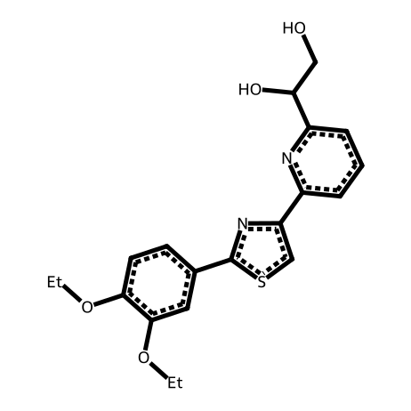 CCOc1ccc(-c2nc(-c3cccc(C(O)CO)n3)cs2)cc1OCC